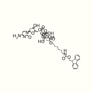 Nc1ccn([C@H]2C[C@@H](O)[C@@H](COP(=O)(O)OP(=O)(O)OP(=O)(O)CP(=O)(O)OCCCCCCNC(=O)OCC3c4ccccc4-c4ccccc43)O2)c(=O)n1